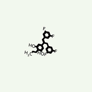 CCCc1c(O)cc(C(=Cc2cc(F)cc(F)c2)Cc2cc(F)cc(F)c2)cc1O